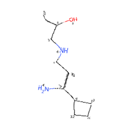 CC(O)CNCCC(N)C1CCC1